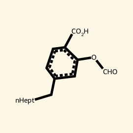 CCCCCCCCc1ccc(C(=O)O)c(OC=O)c1